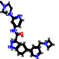 CN1CCN(c2cc(NC(=O)c3n[nH]c4ccc(-c5cncc(CN6CCC6)c5)cc34)ccn2)CC1